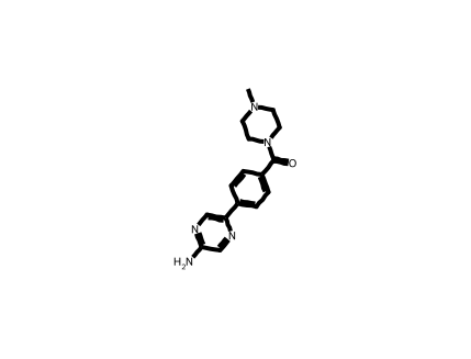 CN1CCN(C(=O)c2ccc(-c3cnc(N)cn3)cc2)CC1